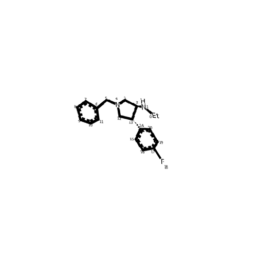 CCN[C@@H]1CN(Cc2ccccc2)C[C@H]1c1ccc(F)cc1